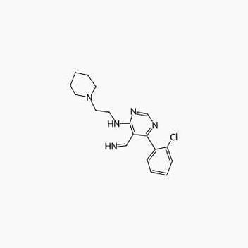 N=Cc1c(NCCN2CCCCC2)ncnc1-c1ccccc1Cl